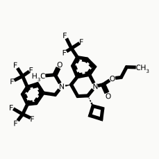 CCCOC(=O)N1c2ccc(C(F)(F)F)cc2[C@@H](N(Cc2cc(C(F)(F)F)cc(C(F)(F)F)c2)C(C)=O)C[C@H]1C1CCC1